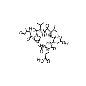 CC(=O)N[C@@H](CCC(=O)O)C(=O)N[C@@H](CC(=O)O)C(=O)N[C@H](C(=O)N[C@H](C(=O)N1CC2CC2[C@H]1C(=O)NC(C)C=O)C(C)C)C(C)C